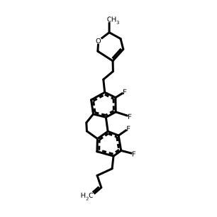 C=CCCc1cc2c(c(F)c1F)-c1c(cc(CCC3=CCC(C)OC3)c(F)c1F)CC2